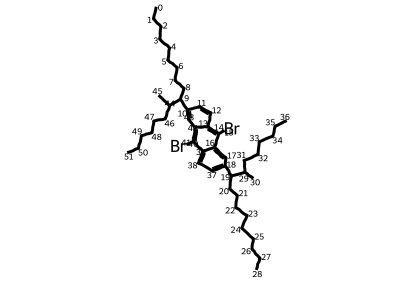 CCCCCCCCCC(c1ccc2c(Br)c3cc(C(CCCCCCCCC)C(C)CCCCCC)ccc3c(Br)c2c1)C(C)CCCCCC